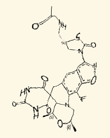 CC(=O)NC[C@H]1CN(c2noc3c(F)c4c(cc23)CC2(C(=O)NC(=O)NC2=O)C2[C@H](C)O[C@H](C)CN42)C(=O)S1